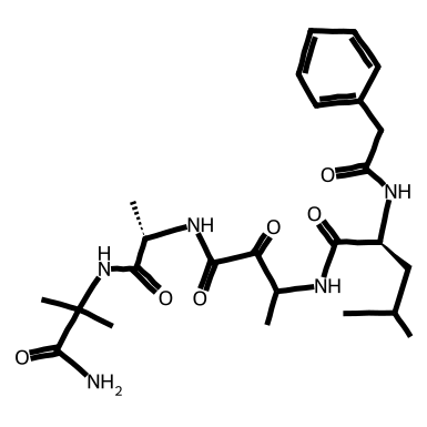 CC(C)C[C@H](NC(=O)Cc1ccccc1)C(=O)NC(C)C(=O)C(=O)N[C@@H](C)C(=O)NC(C)(C)C(N)=O